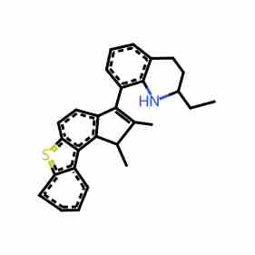 CCC1CCc2cccc(C3=C(C)C(C)c4c3ccc3sc5ccccc5c43)c2N1